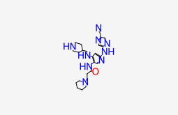 N#Cc1cnc(Nc2cc(NCC3CCNCC3)c(NC(=O)CCN3CCCCC3)cn2)cn1